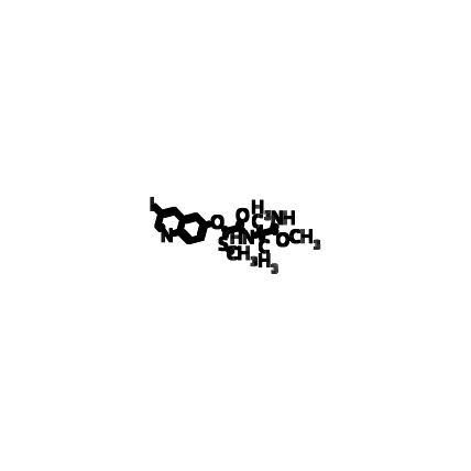 COC(=N)C(C)(C)NC(=O)C(Oc1ccc2ncc(I)cc2c1)SC